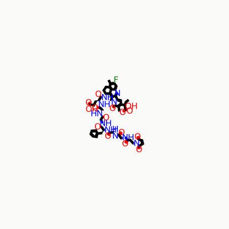 CC[C@@]1(O)C(=O)OCc2c1cc1n(c2=O)Cc2c-1nc1cc(F)c(C)c3c1c2[C@@H](NC(=O)[C@H](CCC(=O)O)NC(=O)CNC(=O)CNC(=O)[C@H](Cc1ccccc1)NC(=O)CNC(=O)CNC(=O)CCN1C(=O)C=CC1=O)CC3